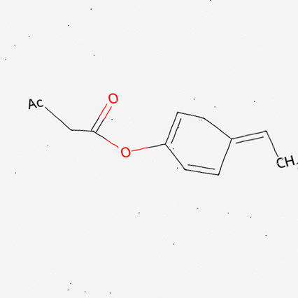 CC=C1C=CC(OC(=O)CC(C)=O)=CC1